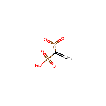 C=C([SH](=O)=O)S(=O)(=O)O